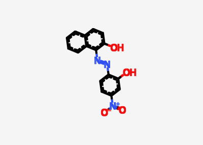 O=[N+]([O-])c1ccc(/N=N/c2c(O)ccc3ccccc23)c(O)c1